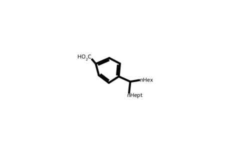 CCCCCCCC(CCCCCC)c1ccc(C(=O)O)cc1